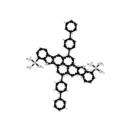 C[Si](C)(C)c1cccc2c1sc1c2cc2c(-c3ccc(-c4ccccc4)cc3)cc3c4sc5c([Si](C)(C)C)cccc5c4cc4c(-c5ccc(-c6ccccc6)cc5)cc1c2c43